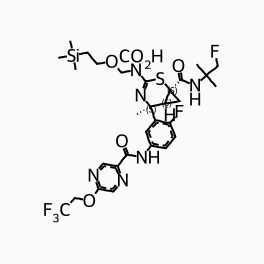 CC(C)(CF)NC(=O)[C@]12C[C@H]1[C@@](C)(c1cc(NC(=O)c3cnc(OCC(F)(F)F)cn3)ccc1F)N=C(N(COCC[Si](C)(C)C)C(=O)O)S2